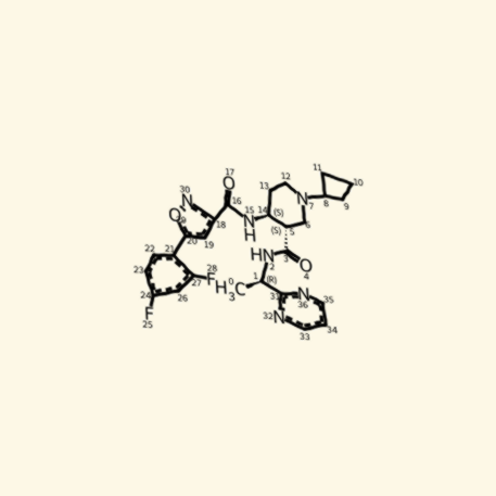 C[C@@H](NC(=O)[C@H]1CN(C2CCC2)CC[C@@H]1NC(=O)c1cc(-c2ccc(F)cc2F)on1)c1ncccn1